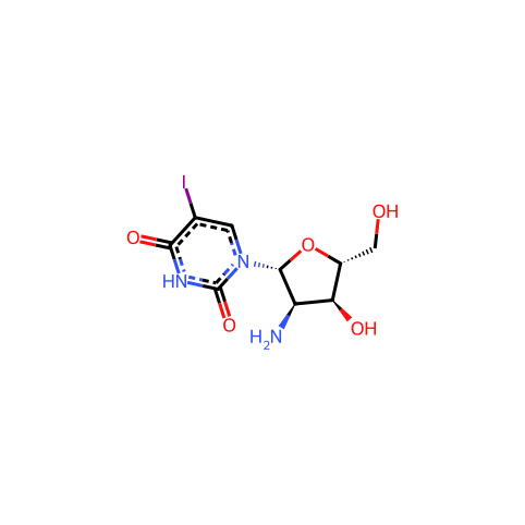 N[C@@H]1[C@H](O)[C@@H](CO)O[C@H]1n1cc(I)c(=O)[nH]c1=O